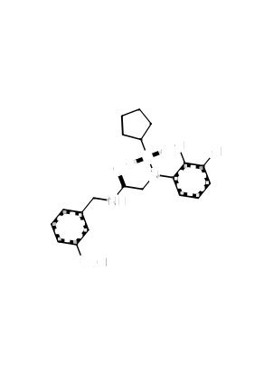 Cc1c(Cl)cccc1N(CC(=O)NCc1cccc(C(=O)O)c1)S(=O)(=O)C1CCCC1